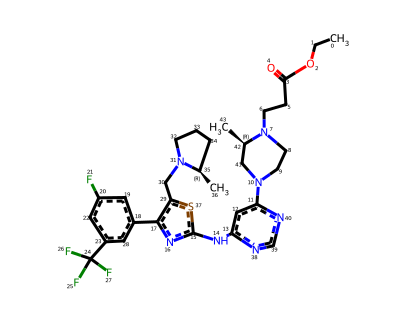 CCOC(=O)CCN1CCN(c2cc(Nc3nc(-c4cc(F)cc(C(F)(F)F)c4)c(CN4CCC[C@H]4C)s3)ncn2)C[C@H]1C